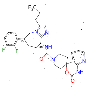 O=C1Nc2ncccc2C2(CCN(C(=O)N[C@@H]3CC[C@@H](c4cccc(F)c4F)Cn4c(CCC(F)(F)F)cnc43)CC2)O1